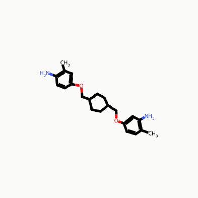 Cc1cc(OCC2CCC(COc3ccc(C)c(N)c3)CC2)ccc1N